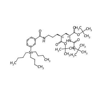 CCC[CH2][Sn]([CH2]CCC)([CH2]CCC)[c]1cccc(C(=O)NCCC[C@@H](C[C@H](NC(=O)OC(C)(C)C)C(=O)OC(C)(C)C)C(=O)OC(C)(C)C)c1